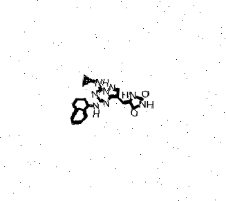 O=C1NC(=O)/C(=C/c2cnn3c(NC4CC4)nc(NC4CCCc5ccccc54)nc23)N1